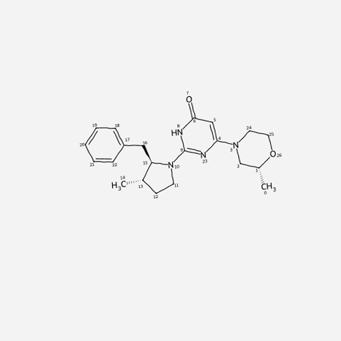 C[C@@H]1CN(c2cc(=O)[nH]c(N3CC[C@H](C)[C@H]3Cc3ccccc3)n2)CCO1